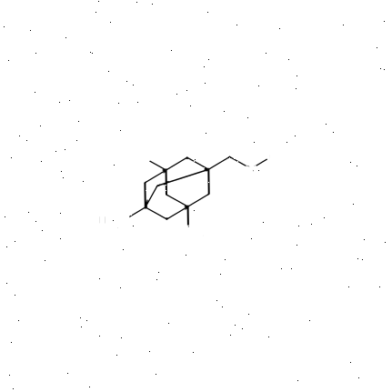 CC12CC3(C)CC(CNC=O)(C1)CC(C(=O)O)(C2)C3